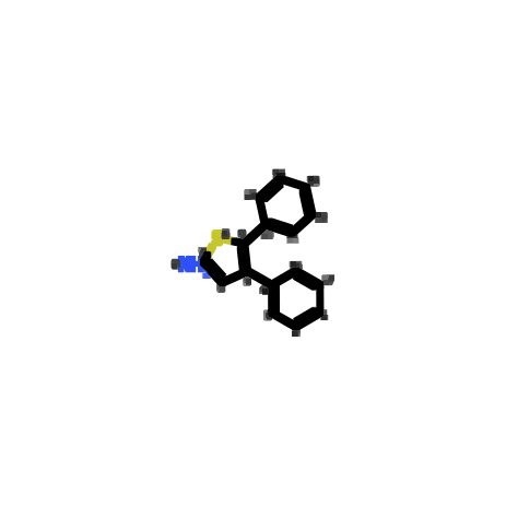 N.c1ccc(-c2ccsc2-c2ccccc2)cc1